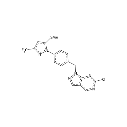 CSc1cc(C(F)(F)F)nn1-c1ccc(Cn2ncc3cnc(Cl)nc32)cc1